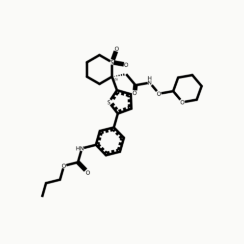 CCCOC(=O)Nc1cccc(-c2ccc([C@@]3(CC(=O)NOC4CCCCO4)CCCCS3(=O)=O)s2)c1